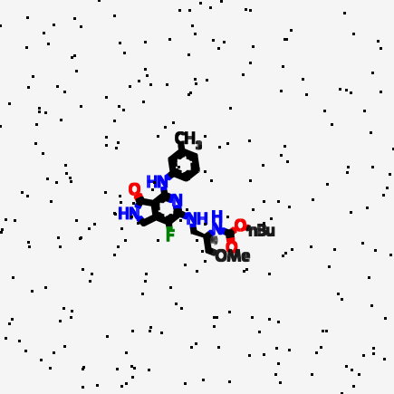 CCCCOC(=O)N[C@H](CNc1nc(Nc2cccc(C)c2)c2c(c1F)CNC2=O)COC